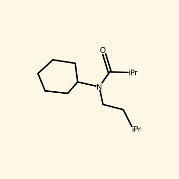 CC(C)CCN(C(=O)C(C)C)C1CCCCC1